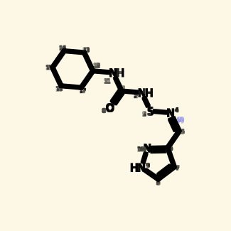 O=C(NS/N=C\c1cc[nH]n1)NC1CCCCC1